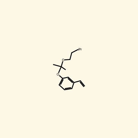 C=Cc1cccc(OC(C)(C)OCCC(C)C)c1